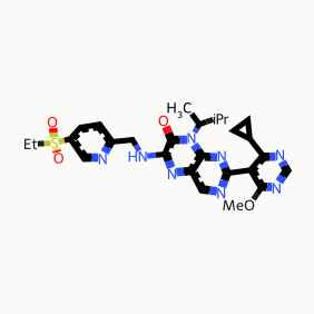 CCS(=O)(=O)c1ccc(CNc2nc3cnc(-c4c(OC)ncnc4C4CC4)nc3n(C(C)C(C)C)c2=O)nc1